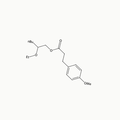 CCCCC(COC(=O)CCc1ccc(OC)cc1)OCC